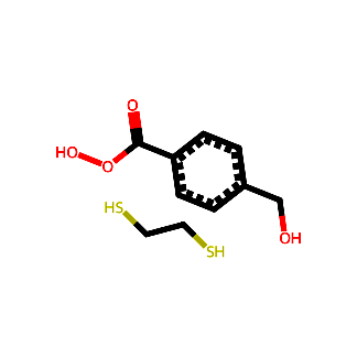 O=C(OO)c1ccc(CO)cc1.SCCS